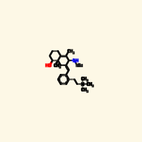 CCCCNC1C(=Cc2ccccc2CC[Si](C)(C)C)C[C@@]2(C)C(=C1C)CCC[C@@H]2O